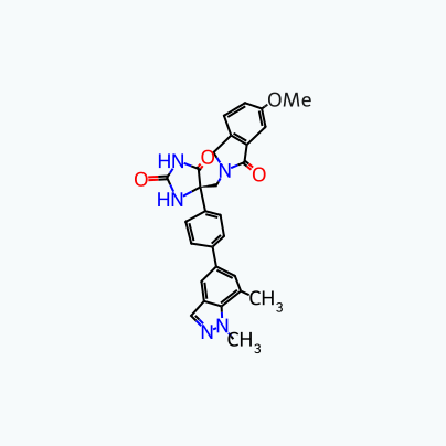 COc1ccc2c(c1)C(=O)N(C[C@@]1(c3ccc(-c4cc(C)c5c(cnn5C)c4)cc3)NC(=O)NC1=O)C2